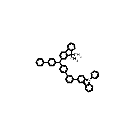 CC1(C)c2ccccc2-c2ccc(C(c3ccc(-c4ccccc4)cc3)c3ccc(-c4cccc(-c5ccc6c(c5)c5ccccc5n6-c5ccccc5)c4)cc3)cc21